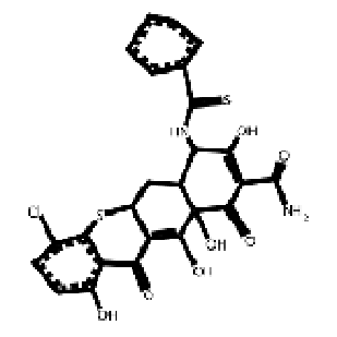 NC(=O)C1=C(O)C(NC(=S)c2ccccc2)C2CC3Sc4c(Cl)ccc(O)c4C(=O)C3=C(O)C2(O)C1=O